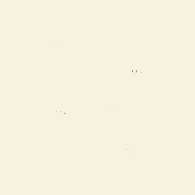 COc1cc(OC)c(N2CCC[N]CC2)c(OC)c1